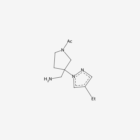 CCc1cnn(C2(CN)CCN(C(C)=O)C2)c1